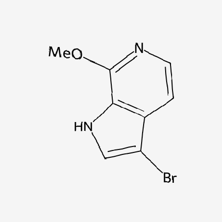 COc1nccc2c(Br)c[nH]c12